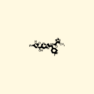 Cc1nonc1C(=O)N[C@H](c1cn2ncc([C@@H](O)N3CC(C(C)C)NC3=O)cc2n1)C1CCC(F)(F)CC1